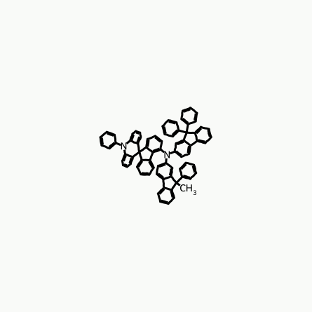 CC1(c2ccccc2)c2ccccc2-c2ccc(N(c3ccc4c(c3)C(c3ccccc3)(c3ccccc3)c3ccccc3-4)c3cccc4c3-c3ccccc3C43c4ccccc4N(c4ccccc4)c4ccccc43)cc21